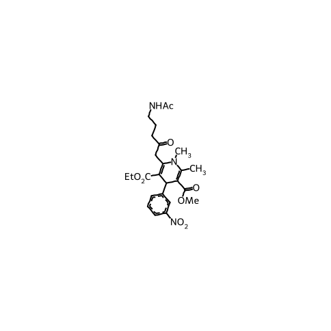 CCOC(=O)C1=C(CC(=O)CCCNC(C)=O)N(C)C(C)=C(C(=O)OC)C1c1cccc([N+](=O)[O-])c1